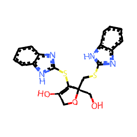 OCC1(CSc2nc3ccccc3[nH]2)OCC(O)=C1Sc1nc2ccccc2[nH]1